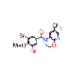 COc1c(Br)cc(C(=O)N2CCOc3ncc(C(F)(F)F)cc32)cc1Br